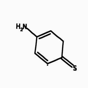 NC1=CCC(=S)[C]=C1